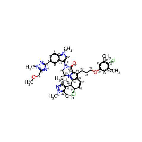 COCc1nc(-c2ccc3c(c2)c(N2C[C@@H](C)n4c(c(CCCOc5cc(C)c(Cl)c(C)c5)c5c4C(c4c(C)nn(C)c4C)C(Cl)C=C5)C2=O)cn3C)nn1C